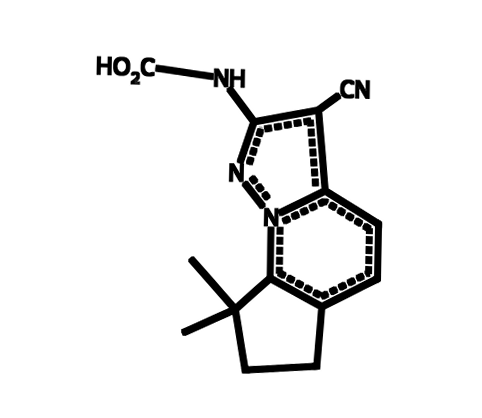 CC1(C)CCc2ccc3c(C#N)c(NC(=O)O)nn3c21